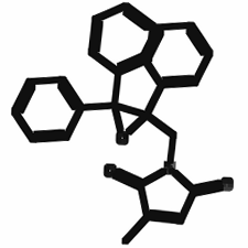 CC1=CC(=O)N(CC2(c3ccccc3)OC2(c2ccccc2)c2ccccc2)C1=O